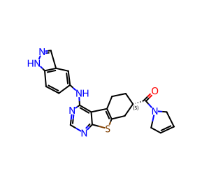 O=C([C@H]1CCc2c(sc3ncnc(Nc4ccc5[nH]ncc5c4)c23)C1)N1CC=CC1